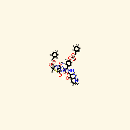 Cc1ccc2c(O)c(C(=O)NC(C(=O)N[C@]3(NC=O)C(=O)N4[C@@H](C(=O)OCc5ccccc5)C(C)(C)S[C@@H]43)c3ccc(OC(=O)OCc4ccccc4)cc3)cnc2n1